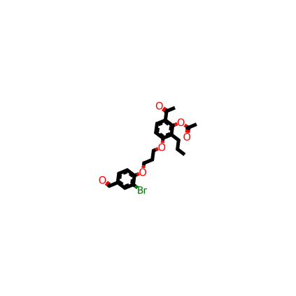 CCCc1c(OCCCOc2ccc(C=O)cc2Br)ccc(C(C)=O)c1OC(C)=O